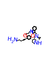 COCCCn1cc(CN(C(=O)[C@H]2CNCC[C@@H]2c2cccc(C#CCCCN)c2)C2CC2)c2ccccc21